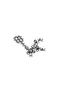 CC(=O)CCC(=O)OCC1OC(n2cc(COCCCCCc3ccc4ccc5cccc6ccc3c4c56)c(=O)[nH]c2=O)C[C@@H]1OC(=O)CCC(C)=O